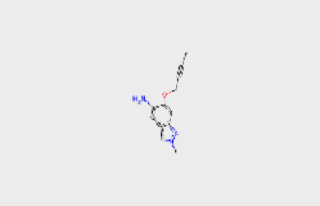 CC#CCOc1cc2nn(C)cc2cc1N